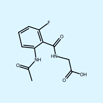 CC(=O)Nc1cccc(F)c1C(=O)NCC(=O)O